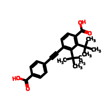 CC(C)(C)c1c(C#Cc2ccc(C(=O)O)cc2)ccc(C(=O)O)c1C(C)(C)C